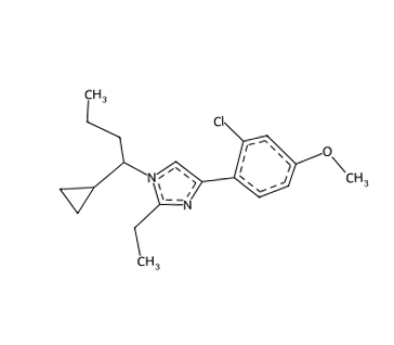 CCCC(C1CC1)n1cc(-c2ccc(OC)cc2Cl)nc1CC